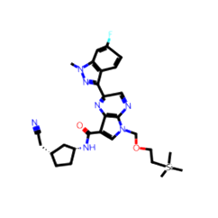 Cn1nc(-c2cnc3c(n2)c(C(=O)N[C@@H]2CC[C@H](CC#N)C2)cn3COCC[Si](C)(C)C)c2ccc(F)cc21